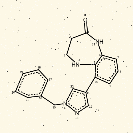 O=C1CCNc2c(cccc2-c2cnn(Cc3ccccc3)c2)N1